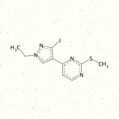 CCn1cc(-c2ccnc(SC)n2)c(I)n1